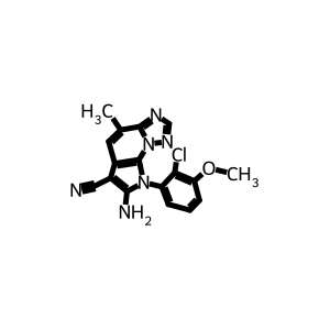 COc1cccc(-n2c(N)c(C#N)c3cc(C)c4ncnn4c32)c1Cl